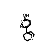 Oc1ccc(C23CCCN(CC2)C3)nn1